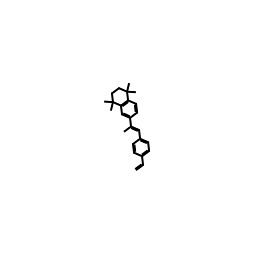 C=Cc1ccc(C=C(C)c2ccc3c(c2)C(C)(C)CCC3(C)C)cc1